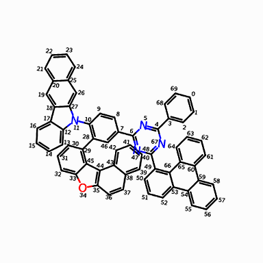 c1ccc(-c2nc(-c3ccc(-n4c5ccccc5c5cc6ccccc6cc54)c(-c4cccc5oc6ccc7ccccc7c6c45)c3)nc(-c3cccc4c5ccccc5c5ccccc5c34)n2)cc1